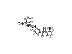 Nc1ccccc1NC(=O)c1ccc(CNNc2ccccc2C=O)cc1